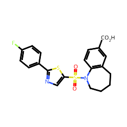 O=C(O)c1ccc2c(c1)CCCCN2S(=O)(=O)c1cnc(-c2ccc(F)cc2)s1